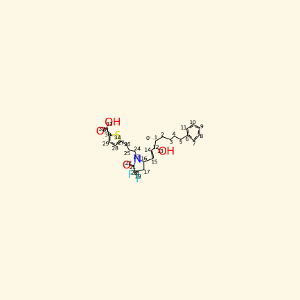 C[C@H](CCCCc1ccccc1)[C@H](O)C=CC1CC(F)(F)C(=O)N1CCCc1ccc(C(=O)O)s1